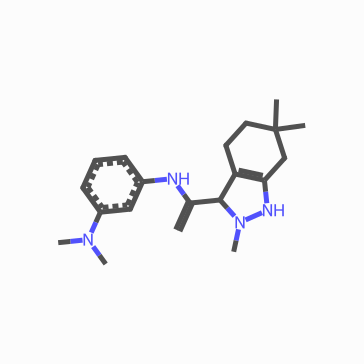 C=C(Nc1cccc(N(C)C)c1)C1C2=C(CC(C)(C)CC2)NN1C